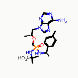 Cc1ccc([C@@H](C)NP(=O)(CO[C@@H](C)Cn2cnc3c(N)ncnc32)NC(C)(C)C(=O)O)cc1